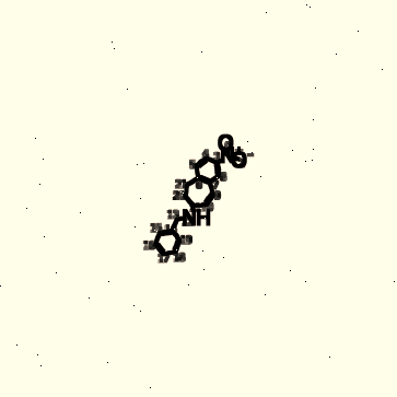 O=[N+]([O-])c1ccc2c(c1)C=CC(NCc1ccccc1)CC2